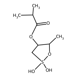 CC(C)C(=O)OC1CS(O)(O)OC1C